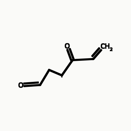 C=CC(=O)[CH]CC=O